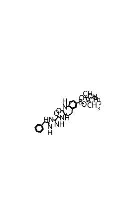 CC1(C)OB(c2ccc3c(c2)CC[C@H](NC(=O)C(=N)NC(=N)Cc2ccccc2)C(=O)N3)OC1(C)C